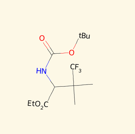 CCOC(=O)C(NC(=O)OC(C)(C)C)C(C)(C)C(F)(F)F